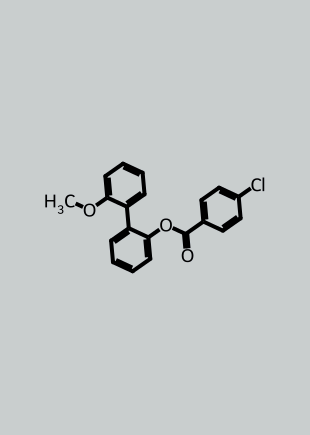 COc1ccccc1-c1ccccc1OC(=O)c1ccc(Cl)cc1